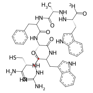 [2H]C(=O)[C@H](Cc1c[nH]c2ccccc12)NN[C@@H](C)C(=O)NC(Cc1ccccc1)C(=O)N[C@@H](CCCNC(=N)N)C(=O)NC(Cc1c[nH]c2ccccc12)C(=O)N[C@@H](CS)C(N)=O